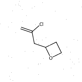 C=C(Cl)CC1CCO1